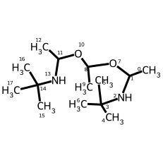 CC(NC(C)(C)C)OC(C)OC(C)NC(C)(C)C